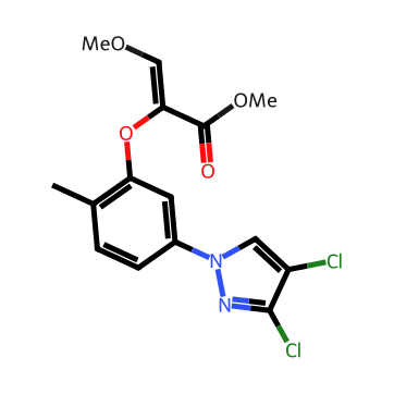 CO/C=C(\Oc1cc(-n2cc(Cl)c(Cl)n2)ccc1C)C(=O)OC